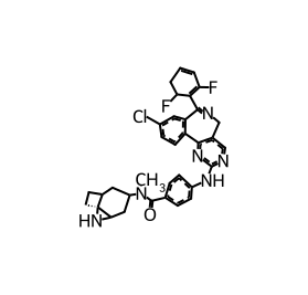 CN(C(=O)c1ccc(Nc2ncc3c(n2)-c2ccc(Cl)cc2C(C2=C(F)C=CCC2F)=NC3)cc1)C1CC2CC[C@]23NC3C1